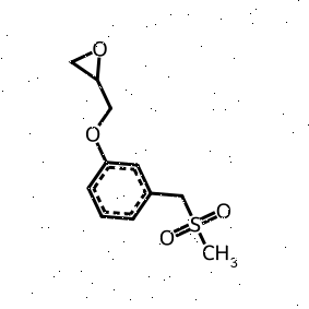 CS(=O)(=O)Cc1cccc(OCC2CO2)c1